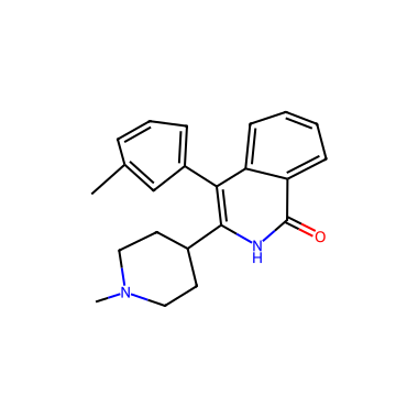 Cc1cccc(-c2c(C3CCN(C)CC3)[nH]c(=O)c3ccccc23)c1